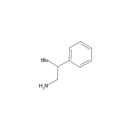 CC(C)(C)C(CN)c1ccccc1